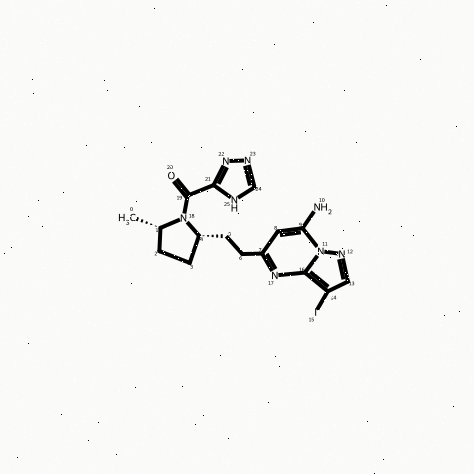 C[C@H]1CC[C@@H](CCc2cc(N)n3ncc(I)c3n2)N1C(=O)c1nnc[nH]1